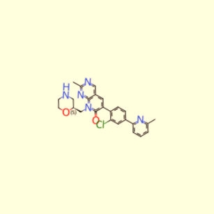 Cc1cccc(-c2ccc(-c3cc4cnc(C)nc4n(C[C@@H]4CNCCO4)c3=O)c(Cl)c2)n1